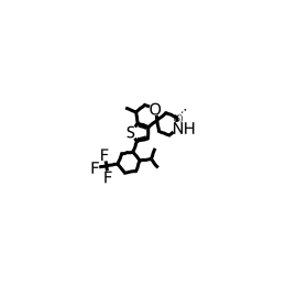 CC1COC2(CCN[C@@H](C)C2)c2cc(C3CC(C(F)(F)F)CCC3C(C)C)sc21